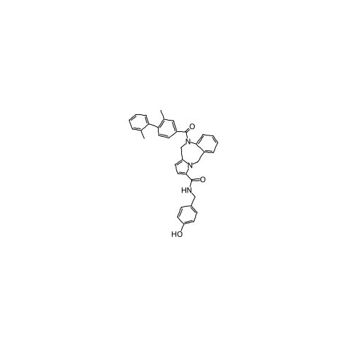 Cc1ccccc1-c1ccc(C(=O)N2Cc3ccc(C(=O)NCc4ccc(O)cc4)n3Cc3ccccc32)cc1C